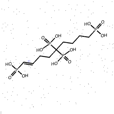 O=P(O)(O)/C=C/CCC(CCCCP(=O)(O)O)(P(=O)(O)O)P(=O)(O)O